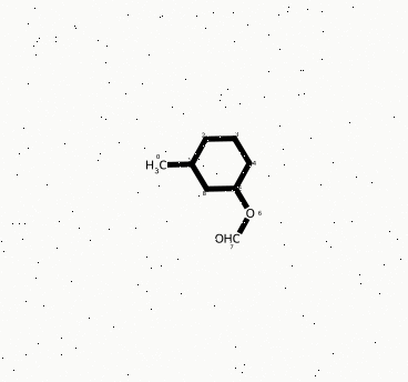 CC1CCCC(OC=O)C1